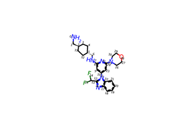 NC[C@H]1CC[C@H](CNc2cc(-n3c(C(F)F)nc4ccccc43)cc(N3CCOCC3)n2)CC1